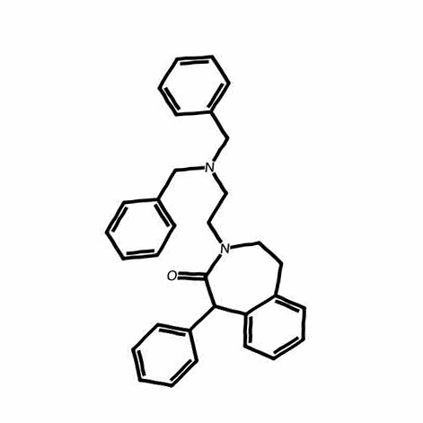 O=C1C(c2ccccc2)c2ccccc2CCN1CCN(Cc1ccccc1)Cc1ccccc1